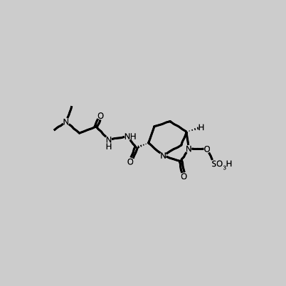 CN(C)CC(=O)NNC(=O)[C@@H]1CC[C@@H]2CN1C(=O)N2OS(=O)(=O)O